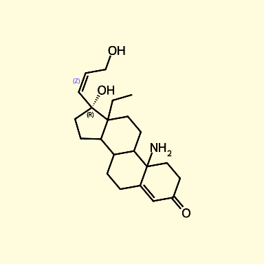 CCC12CCC3C(CCC4=CC(=O)CCC43N)C1CC[C@@]2(O)/C=C\CO